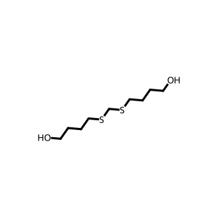 OCCCCSCSCCCCO